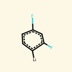 [Li][c]1ccc(F)cc1F